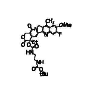 CC[C@@]1(OC(=O)NCCNC(=O)OC(C)(C)C)C(=O)OCc2c1cc1n(c2=O)Cc2c-1nc1cc(F)c(OC)cc1c2C